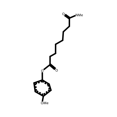 CNC(=O)CCCCCCC(=O)Oc1ccc(OC)cc1